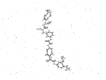 COc1ccc(CNC(=O)c2ccc(CNC(=O)Cc3cccc(CC(C)NC[C@@H](O)c4ccc(N)nc4)c3)cc2)cc1OC